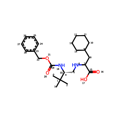 CC(C)(C)[C@@H](CNC(CC1CCCCC1)C(=O)O)NC(=O)OCc1ccccc1